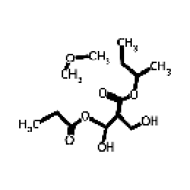 CCC(=O)OC(O)C(CO)C(=O)OC(C)CC.COC